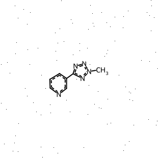 Cn1nnc(-c2cccnc2)n1